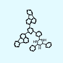 c1ccc(C2NC(c3ccccc3)NC(c3cccc(-c4cc(-c5ccc6c7c(cccc57)-c5ccccc5-6)cc(-c5ccc6c7c(cccc57)-c5ccccc5-6)c4)c3)N2)cc1